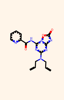 C=CCN(CC=C)c1nc(NC(=O)c2ccccn2)n2oc(=O)nc2n1